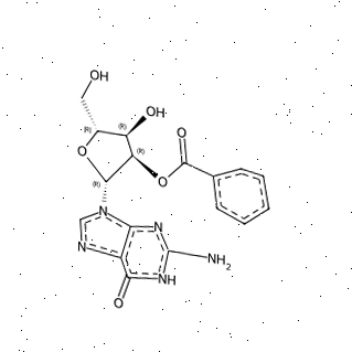 Nc1nc2c(ncn2[C@@H]2O[C@H](CO)[C@@H](O)[C@H]2OC(=O)c2ccccc2)c(=O)[nH]1